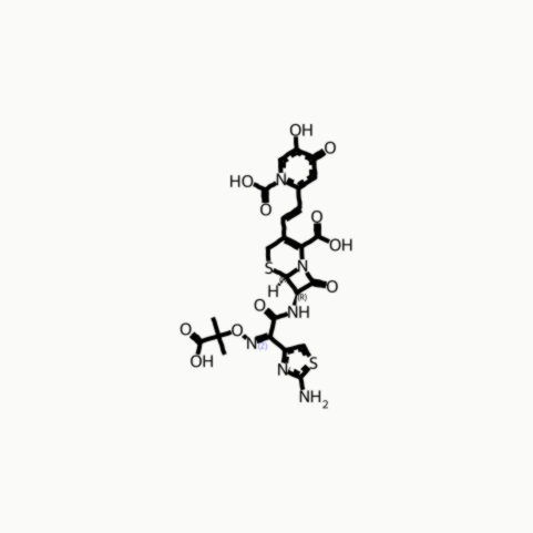 CC(C)(O/N=C(\C(=O)N[C@@H]1C(=O)N2C(C(=O)O)=C(C=Cc3cc(=O)c(O)cn3C(=O)O)CS[C@H]12)c1csc(N)n1)C(=O)O